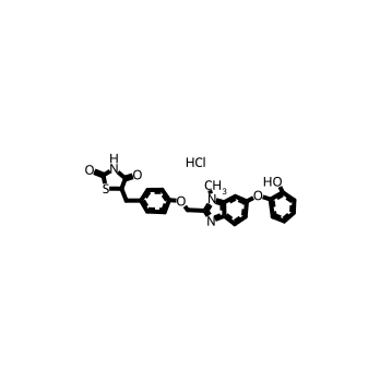 Cl.Cn1c(COc2ccc(CC3SC(=O)NC3=O)cc2)nc2ccc(Oc3ccccc3O)cc21